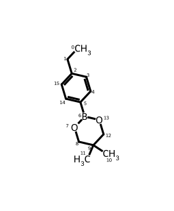 CCc1ccc(B2OCC(C)(C)CO2)cc1